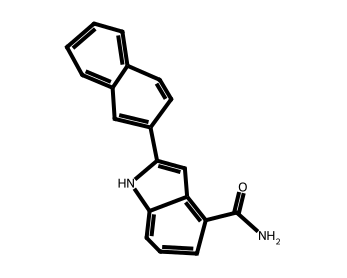 NC(=O)c1cccc2[nH]c(-c3ccc4ccccc4c3)cc12